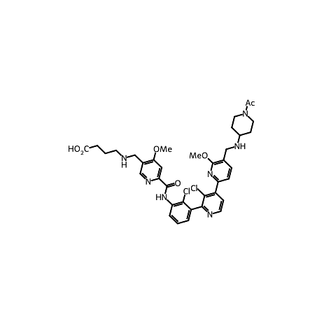 COc1cc(C(=O)Nc2cccc(-c3nccc(-c4ccc(CNC5CCN(C(C)=O)CC5)c(OC)n4)c3Cl)c2Cl)ncc1CNCCCC(=O)O